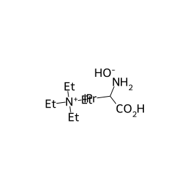 CC(C)C(N)C(=O)O.CC[N+](CC)(CC)CC.[OH-]